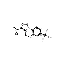 CC(N)c1ncn2c1CSc1cc(C(F)(F)F)ccc1-2